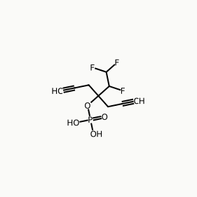 C#CCC(CC#C)(OP(=O)(O)O)C(F)C(F)F